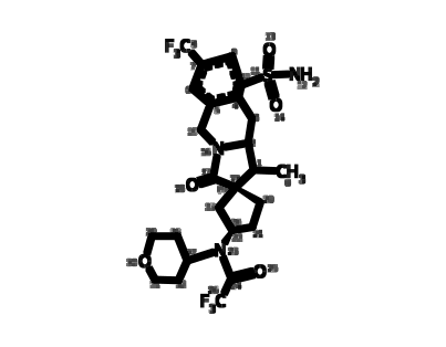 CC1C2Cc3c(cc(C(F)(F)F)cc3S(N)(=O)=O)CN2C(=O)[C@]12CC[C@@H](N(C(=O)C(F)(F)F)C1CCOCC1)C2